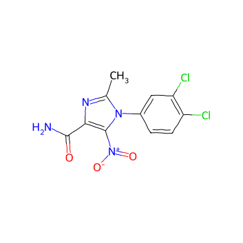 Cc1nc(C(N)=O)c([N+](=O)[O-])n1-c1ccc(Cl)c(Cl)c1